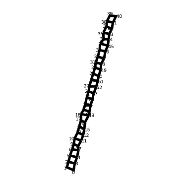 C1CC2C1C1C2C2C1C1C2C2C1C1C2C2C1C1C2C2C1C1C2C2C1C1C2C2C3C4C5C6C7C8C9C%10C%11C%12C%13C%14CCC%14C%13C%12C%11C%10C9C8C7C6C5C4C3C12